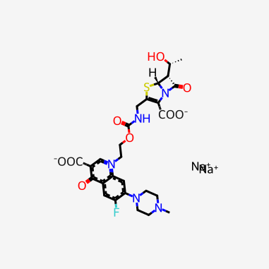 C[C@@H](O)[C@@H]1C(=O)N2C(C(=O)[O-])=C(CNC(=O)OCCn3cc(C(=O)[O-])c(=O)c4cc(F)c(N5CCN(C)CC5)cc43)S[C@H]12.[Na+].[Na+]